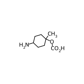 CC1(OC(=O)O)CCC(N)CC1